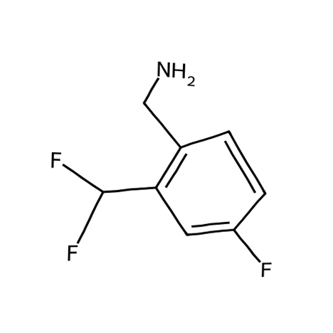 NCc1ccc(F)cc1C(F)F